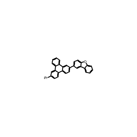 CC(C)c1ccc2c3ccc(-c4ccc5oc6ccccc6c5c4)cc3c3ccccc3c2c1